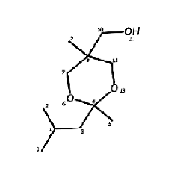 CC(C)CC1(C)OCC(C)(CO)CO1